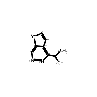 CC(C)c1nncc2occc12